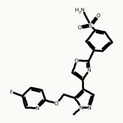 Cn1ncc(-c2coc(-c3cccc(S(N)(=O)=O)c3)n2)c1COc1ccc(F)cn1